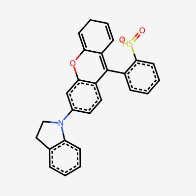 O=[SH](=O)c1ccccc1C1=C2C=CCC=C2Oc2cc(N3CCc4ccccc43)ccc21